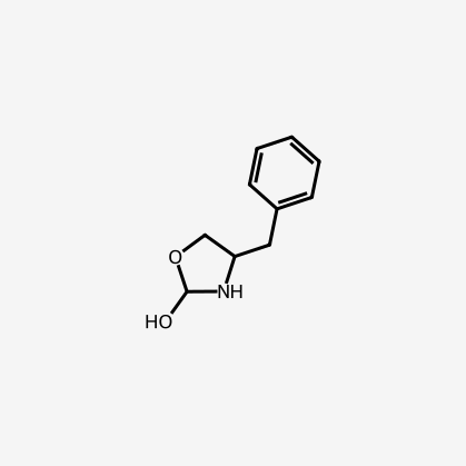 OC1NC(Cc2ccccc2)CO1